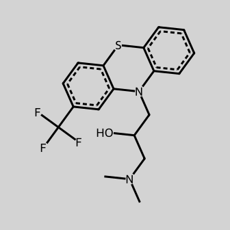 CN(C)CC(O)CN1c2ccccc2Sc2ccc(C(F)(F)F)cc21